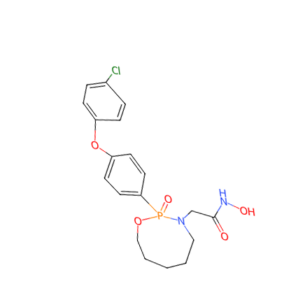 O=C(CN1CCCCCOP1(=O)c1ccc(Oc2ccc(Cl)cc2)cc1)NO